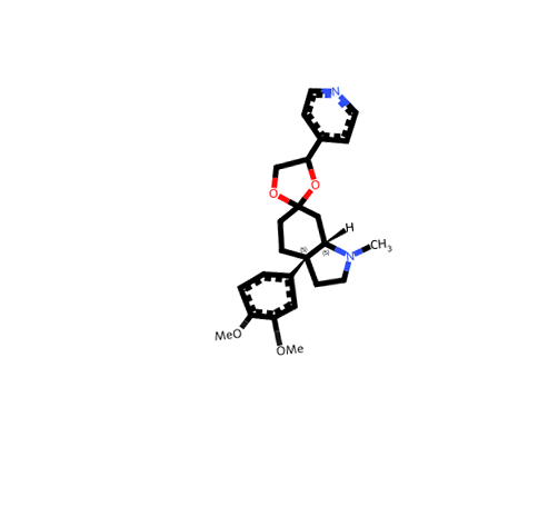 COc1ccc([C@]23CCN(C)[C@H]2CC2(CC3)OCC(c3ccncc3)O2)cc1OC